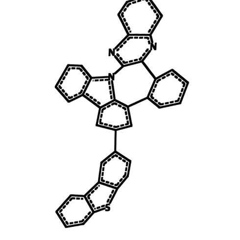 c1ccc2c(c1)-c1nc3ccccc3nc1-n1c3ccccc3c3cc(-c4ccc5sc6ccccc6c5c4)cc-2c31